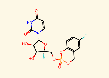 O=c1ccn([C@@H]2O[C@](F)(COP3(=O)OCc4cc(F)ccc4O3)[C@@H](O)[C@H]2O)c(=O)[nH]1